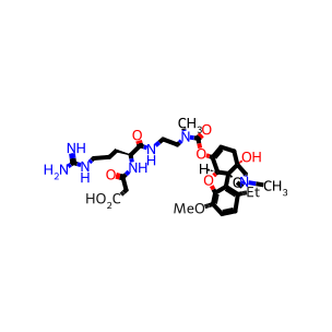 CCc1ccc(OC)c2c1[C@]13CCN(C)C[C@]1(O)CC=C(OC(=O)N(C)CCNC(=O)[C@H](CCCNC(=N)N)NC(=O)CC(=O)O)[C@@H]3O2